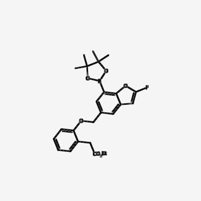 CCOC(=O)Cc1ccccc1OCc1cc(B2OC(C)(C)C(C)(C)O2)c2oc(F)cc2c1